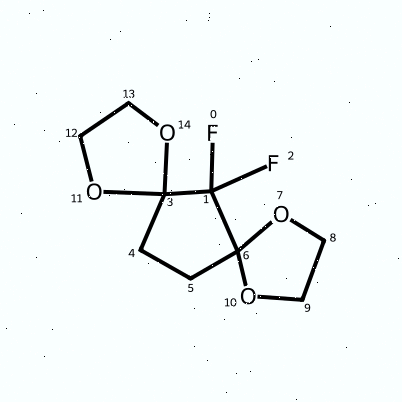 FC1(F)C2(CCC13OCCO3)OCCO2